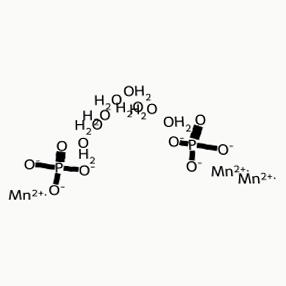 O.O.O.O.O.O.O.O.O=P([O-])([O-])[O-].O=P([O-])([O-])[O-].[Mn+2].[Mn+2].[Mn+2]